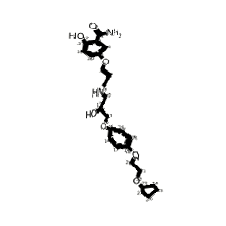 NC(=O)c1cc(OCCNCC(O)COc2ccc(OCCOC3CCCC3)cc2)ccc1O